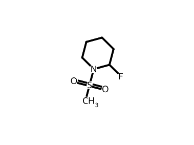 CS(=O)(=O)N1CCCCC1F